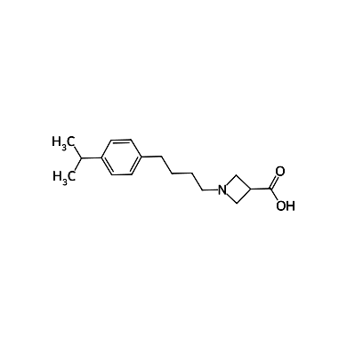 CC(C)c1ccc(CCCCN2CC(C(=O)O)C2)cc1